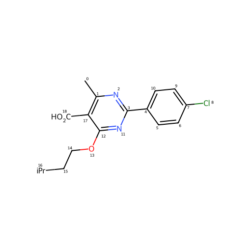 Cc1nc(-c2ccc(Cl)cc2)nc(OCCC(C)C)c1C(=O)O